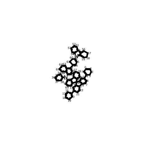 C1=CCCC(c2ccc3c(c2)C2(c4cc(-c5ccccc5)ccc4-3)c3ccccc3-c3c(N(c4ccccc4)c4ccc(C5=CC=C(n6c7c(c8ccccc86)=CCCC=7)CC5)c5ccccc45)cccc32)=C1